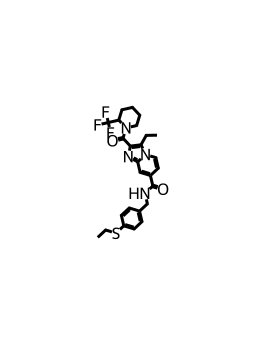 CCSc1ccc(CNC(=O)c2ccn3c(CC)c(C(=O)N4CCCCC4C(F)(F)F)nc3c2)cc1